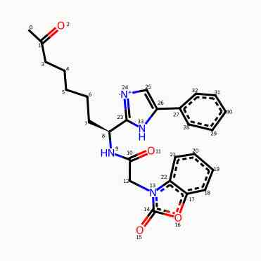 CC(=O)CCCCC[C@H](NC(=O)Cn1c(=O)oc2ccccc21)C1=[N+]C=C(c2ccccc2)N1